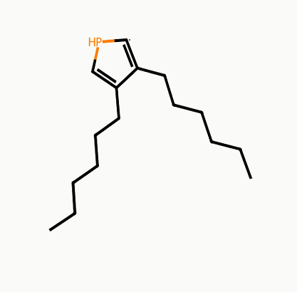 CCCCCCc1[c][pH]cc1CCCCCC